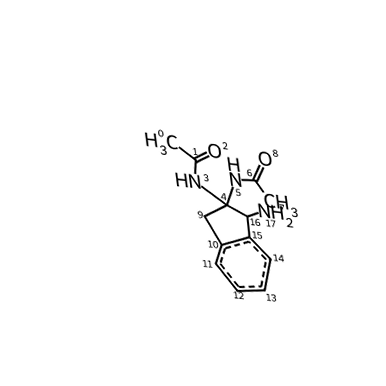 CC(=O)NC1(NC(C)=O)Cc2ccccc2C1N